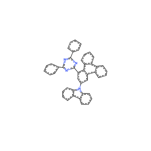 c1ccc(-c2nc(-c3ccccc3)nc(-c3cc(-n4c5ccccc5c5ccccc54)cc4c5ccccc5c5ccccc5c34)n2)cc1